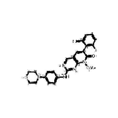 COn1c(=O)c(-c2c(F)cccc2Cl)cc2cnc(Nc3ccc(N4CCOCC4)cc3)nc21